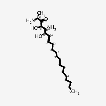 CCCCCCCCCCCCC/C=C/[C@@H](O)[C@@H](N)C(O)C(=O)[C@H](C)N